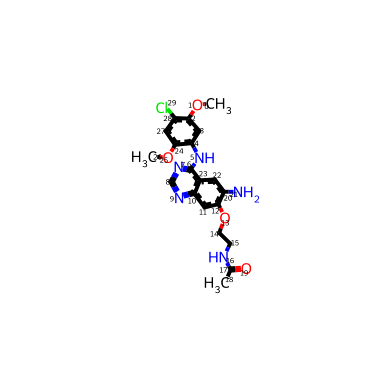 COc1cc(Nc2ncnc3cc(OCCNC(C)=O)c(N)cc23)c(OC)cc1Cl